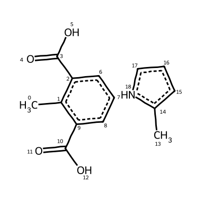 Cc1c(C(=O)O)cccc1C(=O)O.Cc1ccc[nH]1